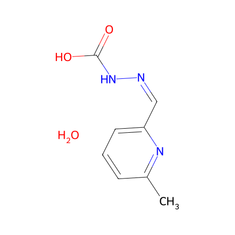 Cc1cccc(/C=N\NC(=O)O)n1.O